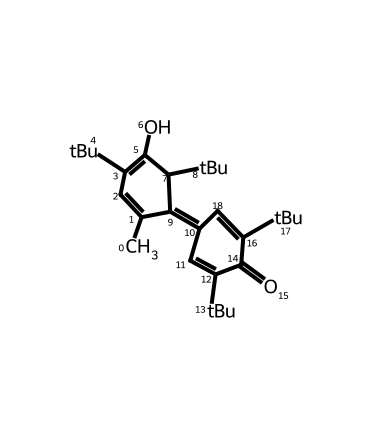 CC1=CC(C(C)(C)C)=C(O)C(C(C)(C)C)C1=C1C=C(C(C)(C)C)C(=O)C(C(C)(C)C)=C1